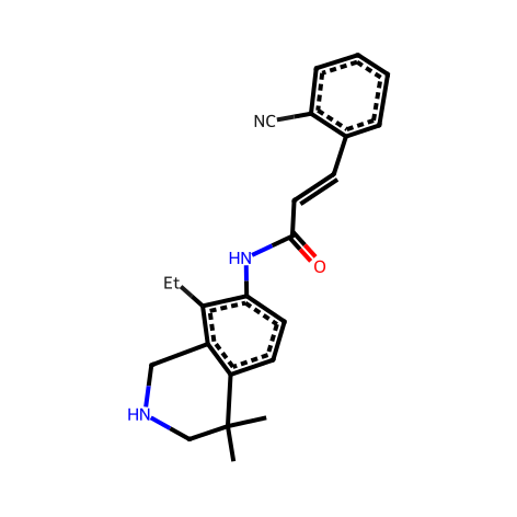 CCc1c(NC(=O)/C=C/c2ccccc2C#N)ccc2c1CNCC2(C)C